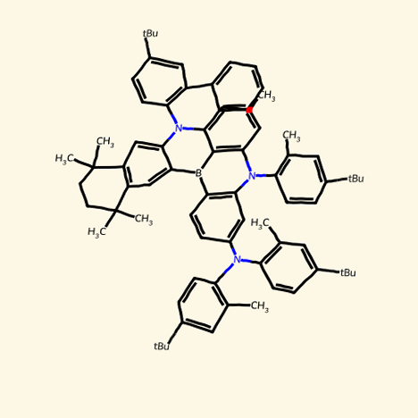 Cc1cc2c3c(c1)N(c1ccc(C(C)(C)C)cc1-c1ccccc1)c1cc4c(cc1B3c1ccc(N(c3ccc(C(C)(C)C)cc3C)c3ccc(C(C)(C)C)cc3C)cc1N2c1ccc(C(C)(C)C)cc1C)C(C)(C)CCC4(C)C